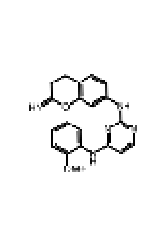 COc1ccccc1Nc1ccnc(Nc2ccc3c(c2)OC(=N)CC3)n1